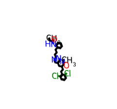 C=CC(=O)Nc1ccccc1CCCc1ncc2c(n1)N(C)C(=O)C(CCc1c(Cl)cccc1Cl)C2